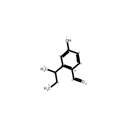 CCC(C)c1cc(O)ccc1C=O